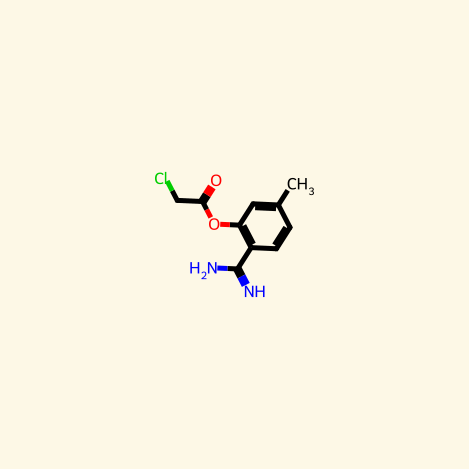 Cc1ccc(C(=N)N)c(OC(=O)CCl)c1